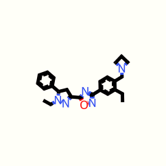 CCc1cc(-c2noc(C3=NN(CC)C(c4ccccc4)C3)n2)ccc1CN1CCC1